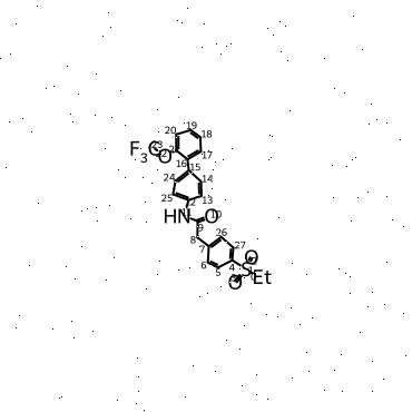 CCS(=O)(=O)c1ccc(CC(=O)Nc2ccc(-c3ccccc3OC(F)(F)F)cc2)cc1